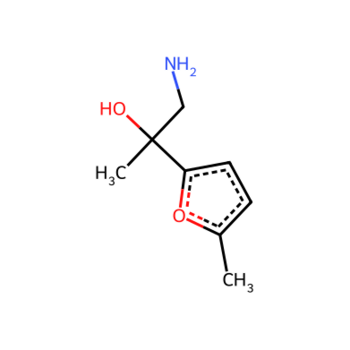 Cc1ccc(C(C)(O)CN)o1